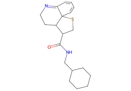 O=C(NCC1CCCCC1)C1CSC23C=CC=CC2=NCCC13